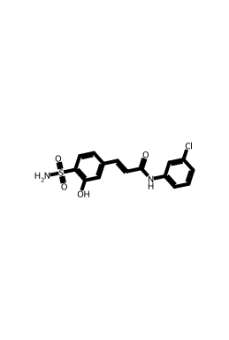 NS(=O)(=O)c1ccc(C=CC(=O)Nc2cccc(Cl)c2)cc1O